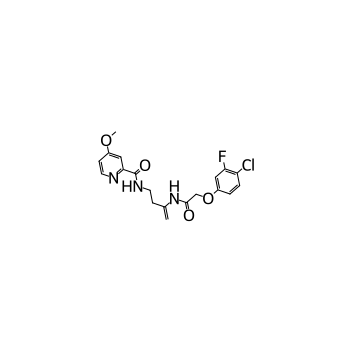 C=C(CCNC(=O)c1cc(OC)ccn1)NC(=O)COc1ccc(Cl)c(F)c1